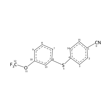 N#Cc1ccc(Sc2cccc(OC(F)(F)F)c2)cc1